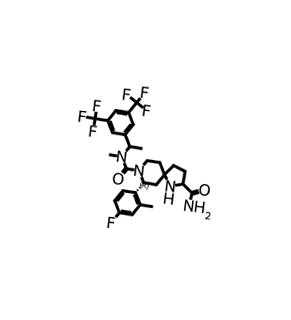 Cc1cc(F)ccc1[C@H]1CC2(CCC(C(N)=O)N2)CCN1C(=O)N(C)C(C)c1cc(C(F)(F)F)cc(C(F)(F)F)c1